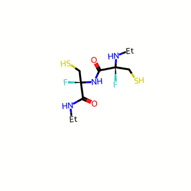 CCNC(=O)[C@](F)(CS)NC(=O)[C@@](F)(CS)NCC